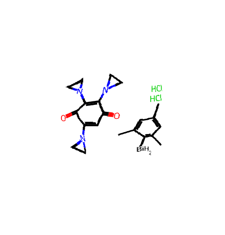 Cc1cc(C)[c]([BiH2])c(C)c1.Cl.Cl.O=C1C=C(N2CC2)C(=O)C(N2CC2)=C1N1CC1